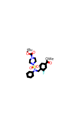 COC(=O)c1ccc(CN(c2ccccc2)S(=O)(=O)N2CCN(C(=O)OC(C)(C)C)CC2)c(F)c1